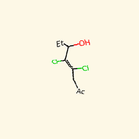 CCC(O)C(Cl)=C(Cl)CC(C)=O